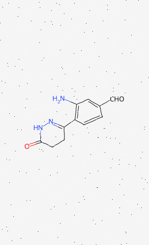 Nc1cc(C=O)ccc1C1=NNC(=O)CC1